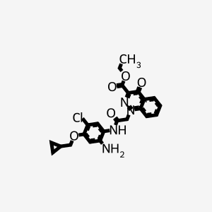 CCOC(=O)c1nn(CC(=O)Nc2cc(Cl)c(OCC3CC3)cc2N)c2ccccc2c1=O